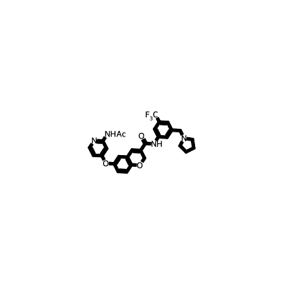 CC(=O)Nc1cc(Oc2ccc3c(c2)C=C(C(=O)Nc2cc(CN4CCCC4)cc(C(F)(F)F)c2)CO3)ccn1